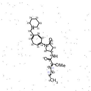 C/C=N/N=C(\OC)C(=O)NC1CC(=O)N(C2=CCC=C(CN3CCCCC3)C=C2)C1